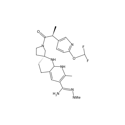 CN/N=C(\N)C1=C(C)NC2N[C@@]3(CCC2=C1)CCN(C(=O)[C@@H](C)c1ccc(OC(F)F)nc1)C3